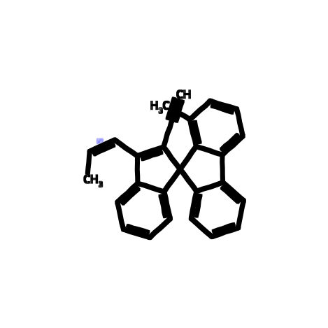 C#CC1=C(/C=C\C)c2ccccc2C12c1ccccc1-c1cccc(C)c12